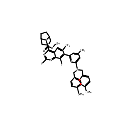 COc1ccc(CN(Cc2ccc(OC)cc2)c2cc(C)cc(-c3c(C(F)(F)F)cc4c(N5CC6CCC(C5)N6C(=O)OC(C)(C)C)nc(F)nc4c3F)n2)cc1